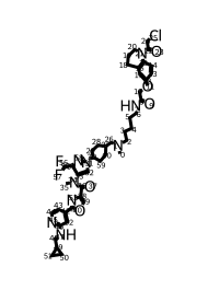 CN(CCCCCNC(=O)COc1ccc2c(c1)CCCN2C(=O)CCl)CC1CCC(n2cc(N(C)C(=O)c3coc(-c4ccnc(NCC5CC5)c4)n3)c(C(F)F)n2)CC1